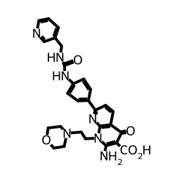 Nc1c(C(=O)O)c(=O)c2ccc(-c3ccc(NC(=O)NCc4cccnc4)cc3)nc2n1CCN1CCOCC1